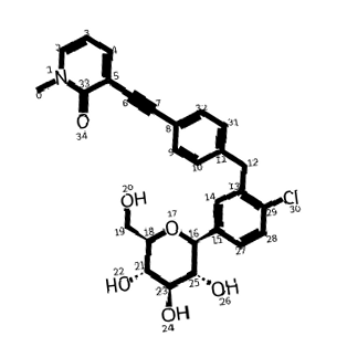 Cn1cccc(C#Cc2ccc(Cc3cc([C@@H]4O[C@H](CO)[C@@H](O)[C@H](O)[C@H]4O)ccc3Cl)cc2)c1=O